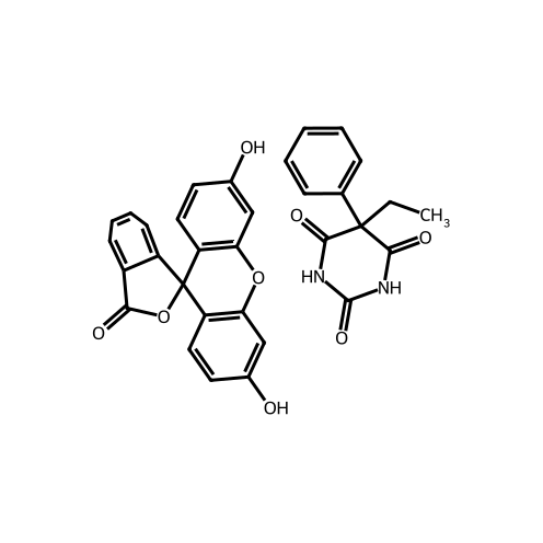 CCC1(c2ccccc2)C(=O)NC(=O)NC1=O.O=C1OC2(c3ccc(O)cc3Oc3cc(O)ccc32)c2ccccc21